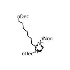 CCCCCCCCCCCCCCCCCc1n(CCCCCCCCCC)cc[n+]1CCCCCCCCC